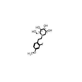 COc1ccc(CCN2C[C@H](O)[C@@H](O)[C@H](O)[C@H]2CO)c(F)c1